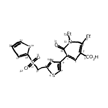 CCc1c(C(=O)O)cc(-c2csc(CS(=O)(=O)c3cccs3)n2)c(=O)n1CC